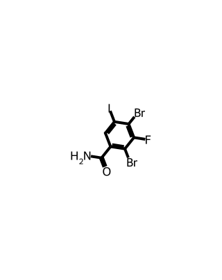 NC(=O)c1cc(I)c(Br)c(F)c1Br